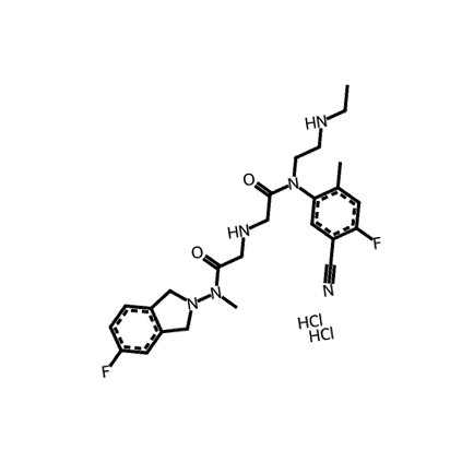 CCNCCN(C(=O)CNCC(=O)N(C)N1Cc2ccc(F)cc2C1)c1cc(C#N)c(F)cc1C.Cl.Cl